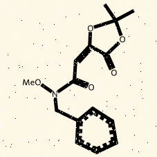 CON(Cc1ccccc1)C(=O)C=C1OC(C)(C)OC1=O